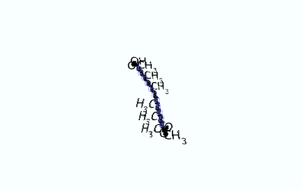 COC(=O)/C(C)=C/C=C/C(C)=C/C=C/C(C)=C/C=C/C=C(C)/C=C/C=C(C)/C=C/C=C(\C)C(=O)O